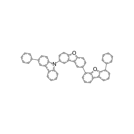 c1ccc(-c2ccc3c(c2)c2ccccc2n3-c2ccc3oc4ccc(-c5cccc6c5oc5c(-c7ccccc7)cccc56)cc4c3c2)cc1